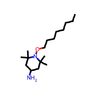 CCCCCCCCON1C(C)(C)CC(N)CC1(C)C